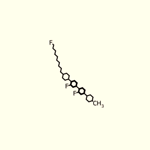 CC1CCC(c2ccc(-c3ccc(C4CCC(CCCCCCCCCCF)CC4)c(F)c3)c(F)c2)CC1